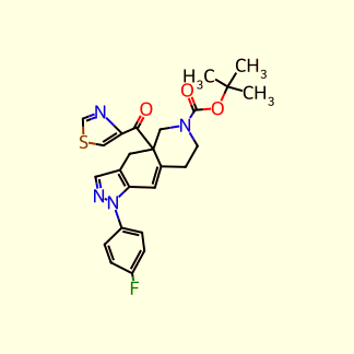 CC(C)(C)OC(=O)N1CCC2=Cc3c(cnn3-c3ccc(F)cc3)CC2(C(=O)c2cscn2)C1